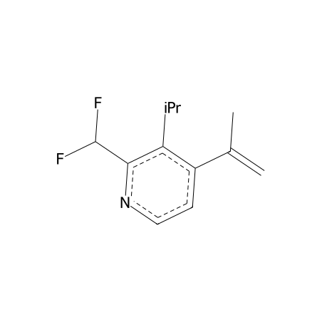 C=C(C)c1ccnc(C(F)F)c1C(C)C